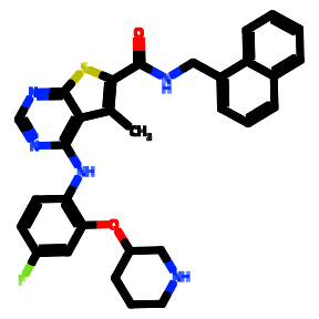 Cc1c(C(=O)NCc2cccc3ccccc23)sc2ncnc(Nc3ccc(F)cc3OC3CCCNC3)c12